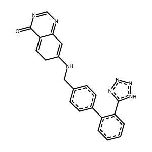 O=C1N=CN=C2C=C(NCc3ccc(-c4ccccc4-c4nnn[nH]4)cc3)CC=C12